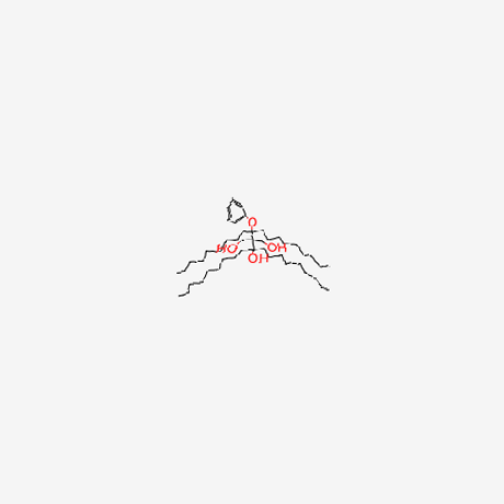 CCCCCCCCCC(O)(CCCCCCCCC)C(CO)(CO)C(CCCCCCCCC)(CCCCCCCCC)Oc1ccccc1